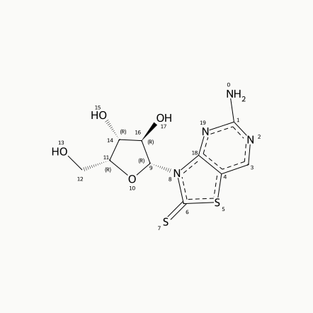 Nc1ncc2sc(=S)n([C@@H]3O[C@H](CO)[C@H](O)[C@H]3O)c2n1